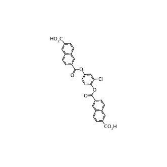 O=C(O)c1ccc2cc(C(=O)Oc3ccc(OC(=O)c4ccc5cc(C(=O)O)ccc5c4)c(Cl)c3)ccc2c1